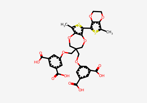 Cc1sc(-c2sc(C)c3c2OCC(COc2cc(C(=O)O)cc(C(=O)O)c2)(COc2cc(C(=O)O)cc(C(=O)O)c2)CO3)c2c1OCCO2